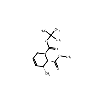 COC(=O)[C@@H]1[C@H](C)C=CCN1C(=O)OC(C)(C)C